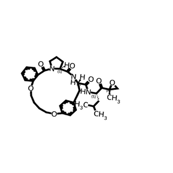 CC(C)C[C@H](NC(=O)[C@@H]1Cc2ccc(cc2)OCCCCOc2ccccc2C(=O)N2CCC[C@H]2C(=O)N1)C(=O)[C@@]1(C)CO1